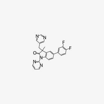 CC1(Cc2cncnc2)C(=O)N(c2ncccn2)c2ccc(-c3ccc(F)c(F)c3)cc21